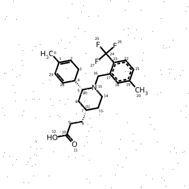 CC1=CCC([C@H]2C[C@@H](CCC(=O)O)CCN2Cc2cc(C)ccc2C(F)(F)F)C=C1